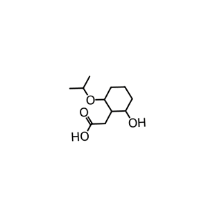 CC(C)OC1CCCC(O)C1CC(=O)O